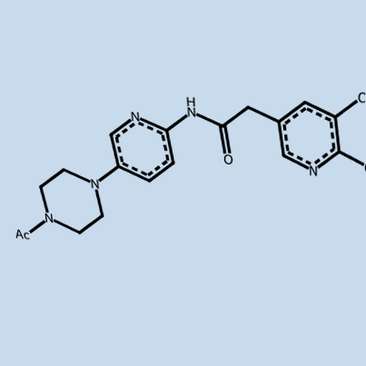 CC(=O)N1CCN(c2ccc(NC(=O)Cc3cnc(Cl)c(Cl)c3)nc2)CC1